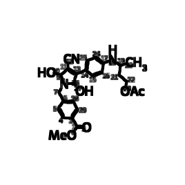 COC(=O)c1ccc(CN2C(O)C(C#N)=C(c3ccc(NC(C)CCOC(C)=O)cc3)C2O)cc1